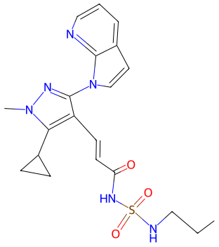 CCCNS(=O)(=O)NC(=O)/C=C/c1c(-n2ccc3cccnc32)nn(C)c1C1CC1